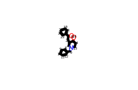 O=C(CC1CN(Cc2ccccc2)CCC1=O)c1ccccc1